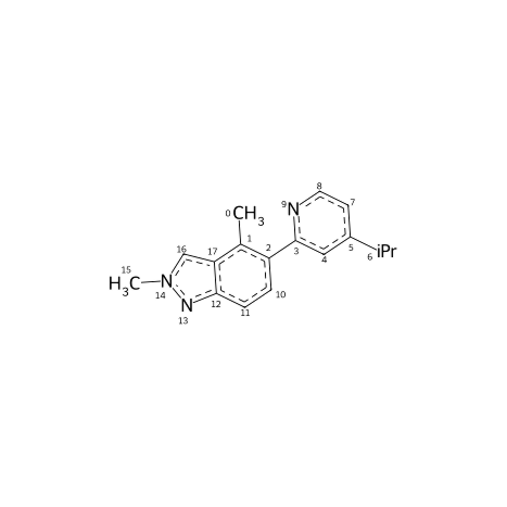 Cc1c(-c2cc(C(C)C)ccn2)ccc2nn(C)cc12